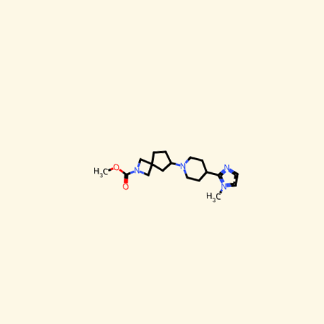 COC(=O)N1CC2(CCC(N3CCC(c4nccn4C)CC3)C2)C1